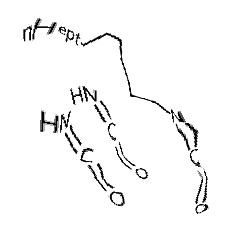 CCCCCCCCCN=C=O.N=C=O.N=C=O